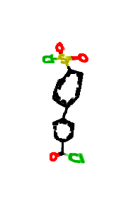 O=C(Cl)c1ccc(-c2ccc(S(=O)(=O)Cl)cc2)cc1